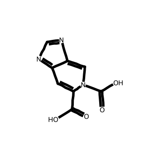 O=C(O)c1cc2ncnc-2cn1C(=O)O